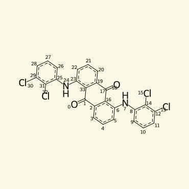 O=C1c2cccc(Nc3cccc(Cl)c3Cl)c2C(=O)c2cccc(Nc3cccc(Cl)c3Cl)c21